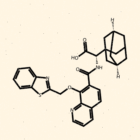 O=C(N[C@H](C(=O)O)C12CC3C[C@H](C1)C[C@@H](C3)C2)c1ccc2cccnc2c1OCc1nc2ccccc2s1